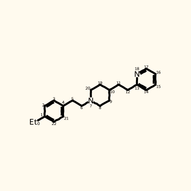 CCc1ccc(CCN2CCC(CCc3ccccn3)CC2)cc1